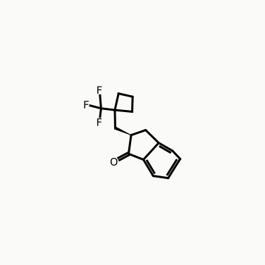 O=C1c2ccccc2C[C@@H]1CC1(C(F)(F)F)CCC1